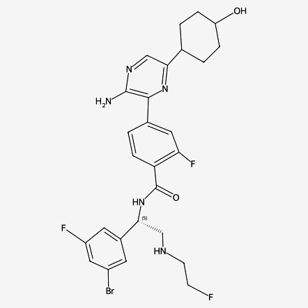 Nc1ncc(C2CCC(O)CC2)nc1-c1ccc(C(=O)N[C@H](CNCCF)c2cc(F)cc(Br)c2)c(F)c1